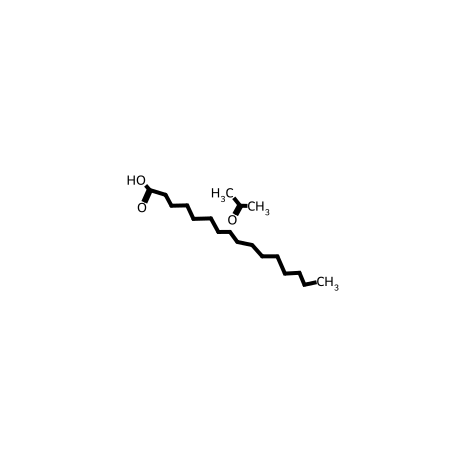 CC(C)=O.CCCCCCCCCCCCCCCC(=O)O